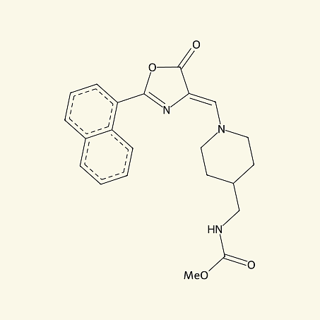 COC(=O)NCC1CCN(C=C2N=C(c3cccc4ccccc34)OC2=O)CC1